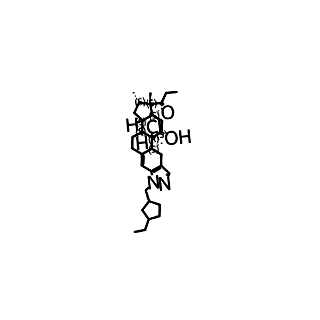 CCC(=O)[C@@]1(C)[C@@H](C)C[C@H]2[C@@H]3CCC4=Cc5c(cnn5CC5CCC(CC)C5)C[C@]4(C)[C@@]3(Cl)[C@@H](O)C[C@@]21C